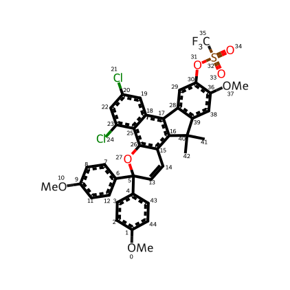 COc1ccc(C2(c3ccc(OC)cc3)C=Cc3c4c(c5cc(Cl)cc(Cl)c5c3O2)-c2cc(OS(=O)(=O)C(F)(F)F)c(OC)cc2C4(C)C)cc1